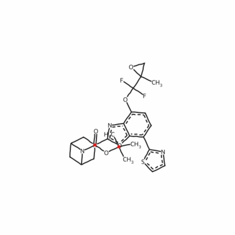 CC(C)(C)OC(=O)N1C2CC1CN(c1nc3c(OC(F)(F)C4(C)CO4)ccc(-c4nccs4)c3o1)C2